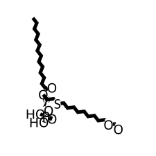 CCCCCCCCCCCCCC(=O)O[C@H](COP(=O)(O)O)CSCCCCCCCCCOC=O